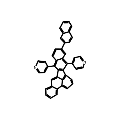 c1ccc2cc(-c3ccc4c(-c5ccncc5)c5c(c(-c6ccncc6)c4c3)-c3cccc4c3c-5cc3ccccc34)ccc2c1